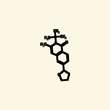 Cc1cc2cc(C3CCCO3)ccc2c(=O)n1C(C)(C)C